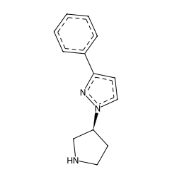 c1ccc(-c2ccn([C@H]3CCNC3)n2)cc1